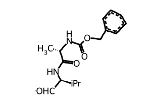 CC(C)[C@@H]([C]=O)NC(=O)[C@H](C)NC(=O)OCc1ccccc1